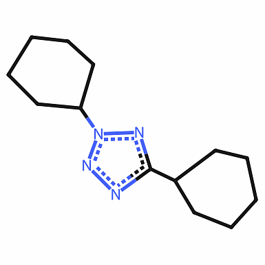 C1CCC(c2nnn(C3CCCCC3)n2)CC1